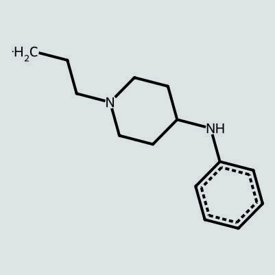 [CH2]CCN1CCC(Nc2ccccc2)CC1